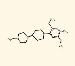 CCc1cc(C)c(OC)cc1N1CCC(N2CCN(C)CC2)CC1